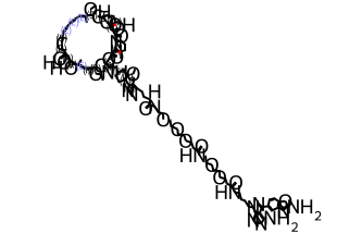 CCO[C@@H]1C[C@@H]([C@H](N)C[C@@H]2CC[C@H](n3cc(CCCC(=O)NCCOCCOCCOCCC(=O)NCCOCCOCCC(=O)NCCCCn4nc(-c5ccc6oc(N)nc6c5)c5c(N)ncnc54)nn3)[C@H](OC)C2)OC(=O)[C@@H]2CCCCN2C(=O)C(=O)[C@]2(O)O[C@@H](CC[C@H]2C)C[C@H](OC)/C(C)=C/C=C/C=C/[C@@H](C)C[C@@H](C)C(=O)[C@H](O)[C@H](O)/C(C)=C/[C@H]1C